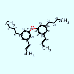 CC=Cc1cc(CCCC)cc(Oc2cc(C=CC)cc(CCCC)c2)c1